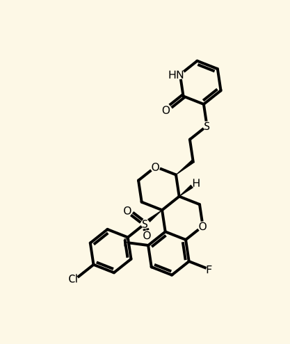 O=c1[nH]cccc1SCC[C@@H]1OCC[C@@]2(S(=O)(=O)c3ccc(Cl)cc3)c3c(F)ccc(F)c3OC[C@@H]12